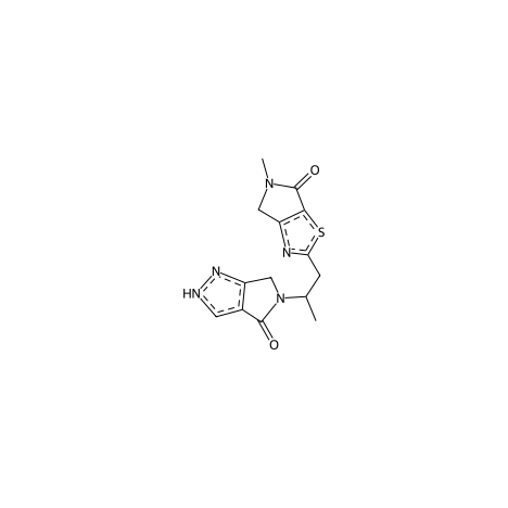 CC(Cc1nc2c(s1)C(=O)N(C)C2)N1Cc2n[nH]cc2C1=O